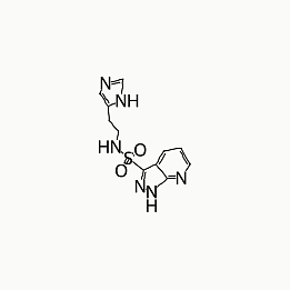 O=S(=O)(NCCc1cnc[nH]1)c1n[nH]c2ncccc12